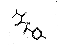 CC(C)C(=O)C(=N)NC(=O)c1ccc(F)cc1